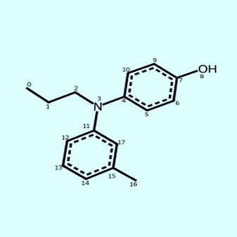 CCCN(c1ccc(O)cc1)c1cccc(C)c1